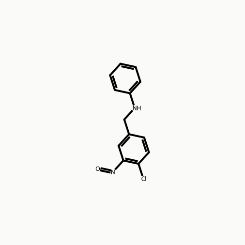 O=Nc1cc(CNc2ccccc2)ccc1Cl